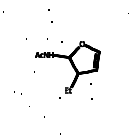 CCC1C=CO[C]1NC(C)=O